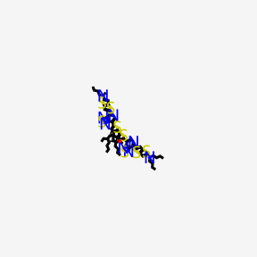 CCCCC(CC)C[Si]1(CC(CC)CCCC)c2cc(-c3cnc(-c4cc5sc(N(C)CCCC)cc5s4)c4nsnc34)sc2-c2sc(-c3cnc(-c4cc5sc(N(CCCC)CCCC)cc5s4)c4nsnc34)cc21